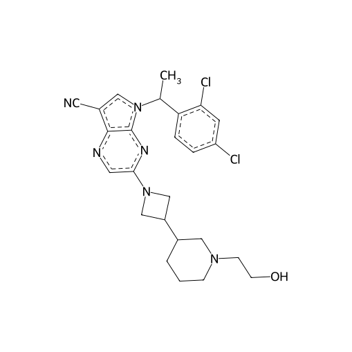 CC(c1ccc(Cl)cc1Cl)n1cc(C#N)c2ncc(N3CC(C4CCCN(CCO)C4)C3)nc21